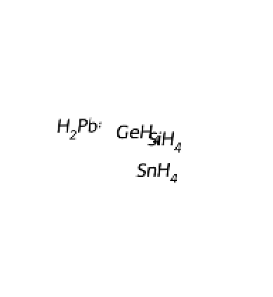 [GeH4].[PbH2].[SiH4].[SnH4]